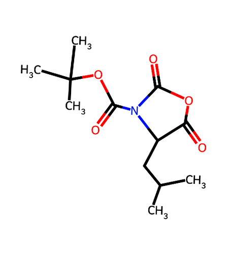 CC(C)CC1C(=O)OC(=O)N1C(=O)OC(C)(C)C